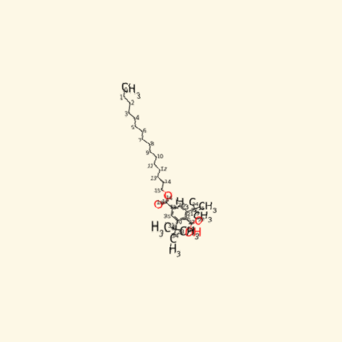 CCCCCCCCCCCCCCCCOC(=O)c1cc(C(C)(C)C)c(C(=O)O)c(C(C)(C)C)c1